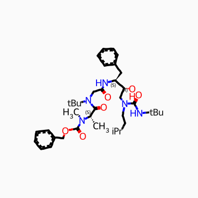 CC(C)CCN(C[C@@H](O)[C@H](Cc1ccccc1)NC(=O)CN(C(=O)[C@H](C)N(C)C(=O)OCc1ccccc1)C(C)(C)C)C(=O)NC(C)(C)C